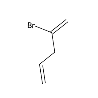 C=CCC(=C)Br